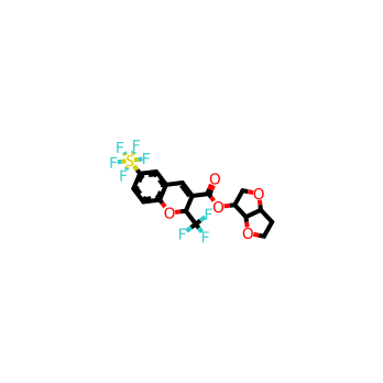 O=C(OC1COC2CCOC21)C1=Cc2cc(S(F)(F)(F)(F)F)ccc2OC1C(F)(F)F